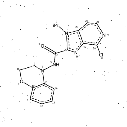 CC(C)n1c(C(=O)NN2CCOc3ccccc32)nc2c(Cl)nccc21